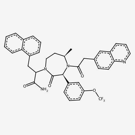 C[C@@H]1CCN(C(Cc2cccc3ccccc23)C(N)=O)C(=O)[C@H](c2cccc(OC(F)(F)F)c2)N1C(=O)Cc1ccc2ncccc2c1